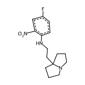 O=[N+]([O-])c1cc(F)ccc1NCCC12CCCN1CCC2